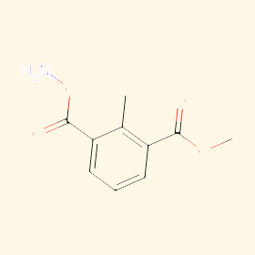 COC(=O)c1cccc(C(=O)ON)c1C